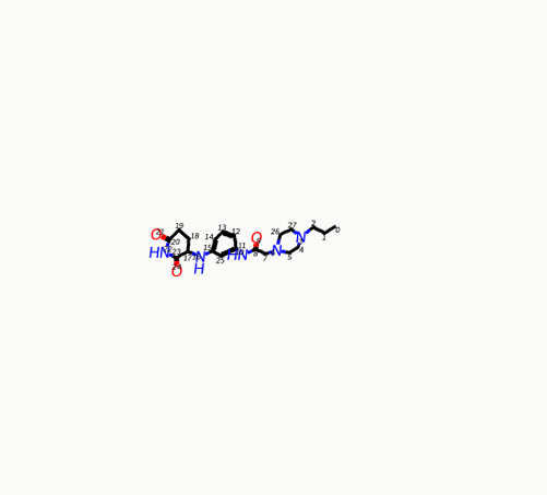 CCCN1CCN(CC(=O)Nc2cccc(NC3CCC(=O)NC3=O)c2)CC1